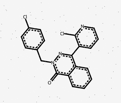 O=c1c2ccccc2c(-c2cccnc2Cl)nn1Cc1ccc(Cl)cc1